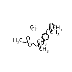 C=CC(=O)OCC[N+](C)(C)Cc1ccc(C[N+](C)(C)C(C)C)cc1.[Cl-].[Cl-]